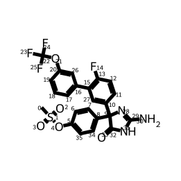 CS(=O)(=O)Oc1ccc(C2(c3ccc(F)c(-c4cccc(OC(F)(F)F)c4)c3)N=C(N)NC2=O)cc1